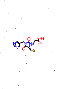 O=C(O)CCN1C(=O)N(Cc2cncnc2)C(=O)/C1=C/Br